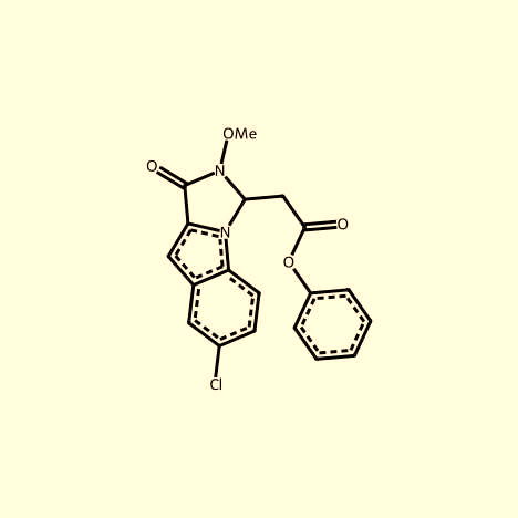 CON1C(=O)c2cc3cc(Cl)ccc3n2C1CC(=O)Oc1ccccc1